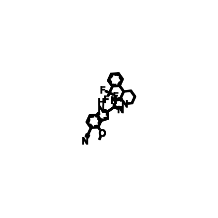 COc1c(C#N)ccc2[nH]c(-c3nc4n(n3)CCCC4c3ccccc3C(F)(F)F)cc12